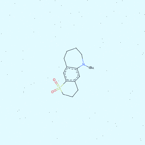 CC(C)(C)N1CCCCc2cc3c(cc21)CCCS3(=O)=O